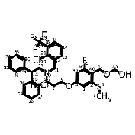 CSc1cc(OCC[C@@H](C)N(Cc2cccc(C(F)(F)F)c2Cl)CC(C2=CCCC=C2)c2ccccc2)cc(F)c1COCO